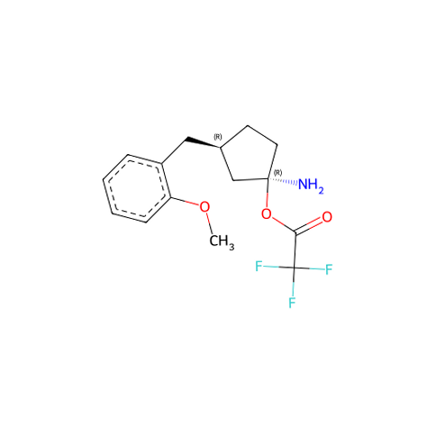 COc1ccccc1C[C@H]1CC[C@@](N)(OC(=O)C(F)(F)F)C1